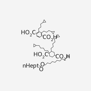 CCCCCCCC(=O)OCCCCCCCCCC1CC1.O=C(O)C1CCC(CCCCCC2CC2)(C(=O)O)C(CCCCCC2CC2)C1.O=C(O)c1ccc(C(=O)O)c(CCCC2CC2)c1CCCC1CC1